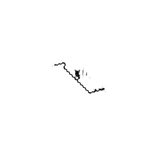 C=C(CC/C=C\CCCCCCCCC(CCCCCCCC/C=C\C/C=C\CCCCC)CN(C)CCN(C)C)CCCCC